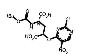 CC(C)(C)OC(=O)N[C@@H](CC(Oc1nc(Cl)ncc1[N+](=O)[O-])C(=O)O)C(=O)O